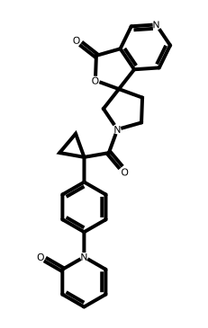 O=C1OC2(CCN(C(=O)C3(c4ccc(-n5ccccc5=O)cc4)CC3)C2)c2ccncc21